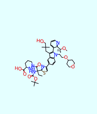 CCC(NC(=O)OC(C)(C)C)(C(=O)N1CCCC(C(=O)O)N1)c1nc(-c2ccc3c(c2)c(CC(C)(C)CO)c(-c2cccnc2[C@H](C)OC)n3CCOC2CCOCC2)cs1